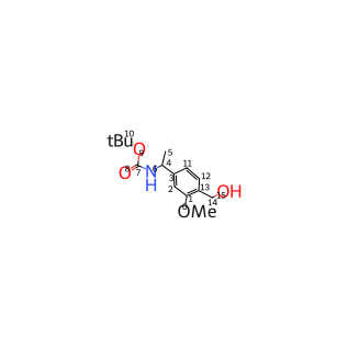 COc1cc(C(C)NC(=O)OC(C)(C)C)ccc1CO